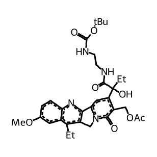 CCc1c2c(nc3ccc(OC)cc13)-c1cc(C(O)(CC)C(=O)NCCNC(=O)OC(C)(C)C)c(COC(C)=O)c(=O)n1C2